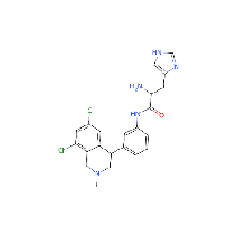 CN1Cc2c(Cl)cc(Cl)cc2C(c2cccc(NC(=O)C(N)Cc3c[nH]cn3)c2)C1